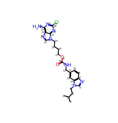 CC(C)CCn1cnc2ccc(CNC(=O)OCCCCn3cnc4c(N)nc(Cl)nc43)cc21